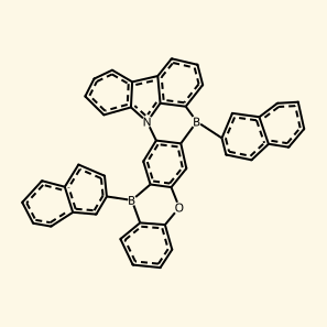 c1ccc2c(c1)Oc1cc3c(cc1B2c1ccc2ccccc2c1)-n1c2ccccc2c2cccc(c21)B3c1ccc2ccccc2c1